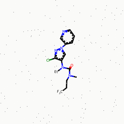 CCN(C(=O)N(C)CCC(F)(F)F)c1cn(-c2cccnc2)nc1Cl